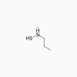 CCC[SiH](C)S